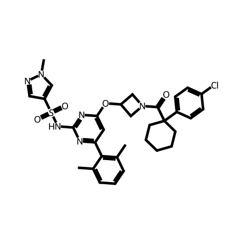 Cc1cccc(C)c1-c1cc(OC2CN(C(=O)C3(c4ccc(Cl)cc4)CCCCC3)C2)nc(NS(=O)(=O)c2cnn(C)c2)n1